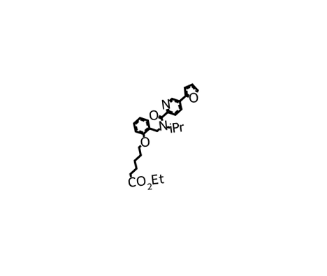 CCOC(=O)CCCCCOc1ccccc1CN(C(=O)c1ccc(-c2ccco2)cn1)C(C)C